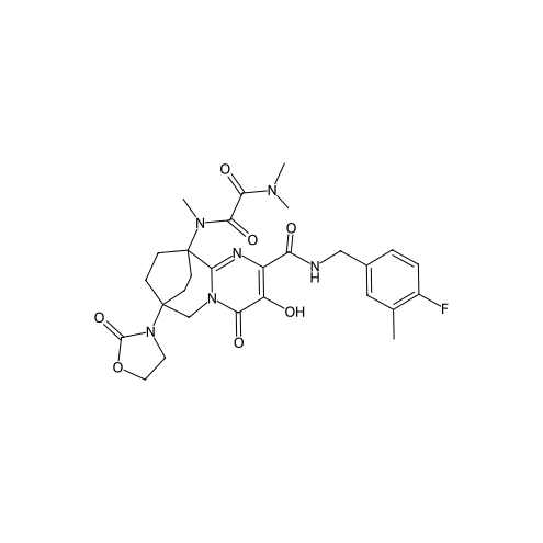 Cc1cc(CNC(=O)c2nc3n(c(=O)c2O)CC2(N4CCOC4=O)CCC3(N(C)C(=O)C(=O)N(C)C)CC2)ccc1F